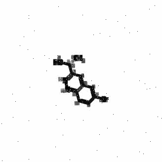 C[C@@H](O)c1cc2cc(Br)ccc2nn1